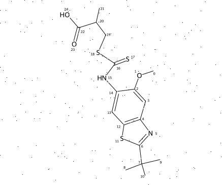 COc1cc2nc(C(C)(C)C)sc2cc1NC(=S)SCC(C)C(=O)O